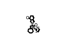 O=C1CC=CC2=CN(C(CC3CCCCCC3)C(=O)Nc3nccs3)CC12